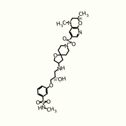 CNS(=O)(=O)c1cccc(OC[C@@H](O)CNC2COC3(CCN(S(=O)(=O)c4cnc5c(c4)N(C)C[C@@H](C)O5)CC3)C2)c1